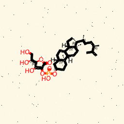 CC(C)[C@H](C)CC[C@@H](C)[C@H]1CC[C@H]2C3CC[C@H]4C[C@@H](OP(=O)(O)OC5=C(O)[C@@H]([C@@H](O)CO)OC5=O)CC[C@]4(C)[C@H]3CC[C@]12C